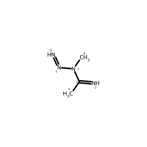 CC(=N)N(C)N=N